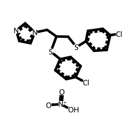 Clc1ccc(SCC(Cn2ccnc2)Sc2ccc(Cl)cc2)cc1.O=[N+]([O-])O